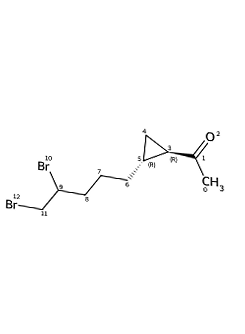 CC(=O)[C@@H]1C[C@H]1CCCC(Br)CBr